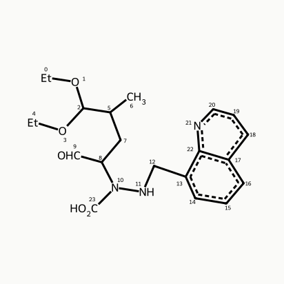 CCOC(OCC)C(C)CC(C=O)N(NCc1cccc2cccnc12)C(=O)O